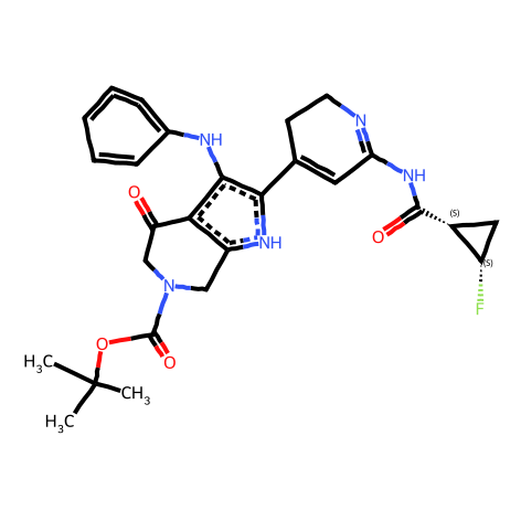 CC(C)(C)OC(=O)N1CC(=O)c2c([nH]c(C3=CC(NC(=O)[C@@H]4C[C@@H]4F)=NCC3)c2NC2=C=C=CC=C2)C1